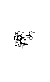 N=C(C1=C(NCC(=O)O)C(F)(F)[C@@H]2C=C[C@H]12)C(F)(F)F